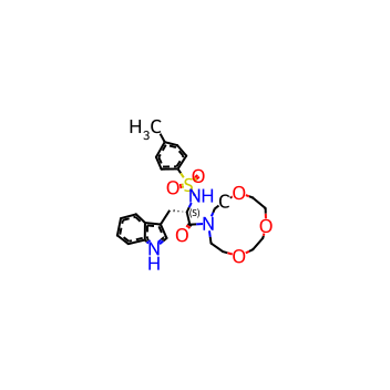 Cc1ccc(S(=O)(=O)N[C@@H](Cc2c[nH]c3ccccc23)C(=O)N2CCOCCOCCOCC2)cc1